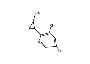 CC1CC1c1ncc(Cl)cc1Cl